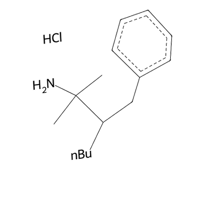 CCCCC(Cc1ccccc1)C(C)(C)N.Cl